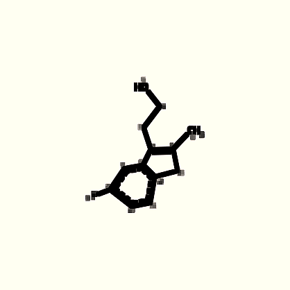 CC1=C(CCO)c2cc(F)ccc2C1